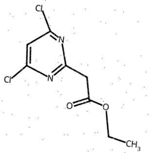 CCOC(=O)Cc1nc(Cl)cc(Cl)n1